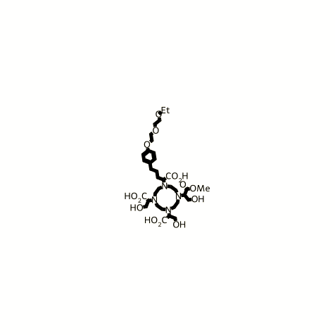 CCOCCOCCOc1ccc(CCCC(C(=O)O)N2CCN(C(CO)C(=O)O)CCN(C(CO)C(=O)O)CCN(C(CO)C(=O)OC)CC2)cc1